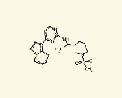 CC(Nc1nccc(-n2cnc3ccccc32)n1)C1CCCN(S(C)(=O)=O)C1